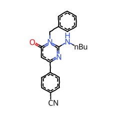 CCCCNc1nc(-c2ccc(C#N)cc2)cc(=O)n1Cc1ccccc1